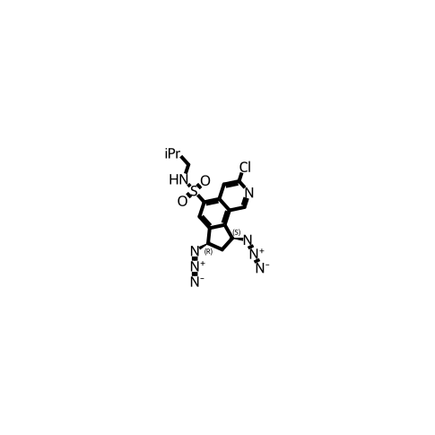 CC(C)CNS(=O)(=O)c1cc2c(c3cnc(Cl)cc13)[C@@H](N=[N+]=[N-])C[C@H]2N=[N+]=[N-]